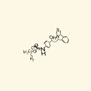 CC(C)(C)OC(=O)Nc1ccc(C(O)CC2c3ccccc3-c3cncn32)cc1